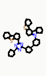 c1ccc(-c2nc(-c3cccc(-c4cccc(-n5c6ccccc6c6c7c(ccc65)sc5ccccc57)c4)c3)nc(-c3cccc4c3sc3ccccc34)n2)cc1